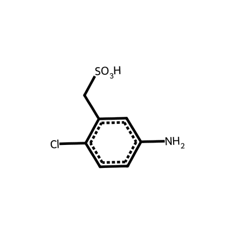 Nc1ccc(Cl)c(CS(=O)(=O)O)c1